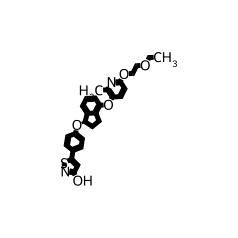 CCOCCOc1ccc(Oc2cccc3c2CC[C@H]3Oc2ccc(-c3cc(O)ns3)cc2)c(C)n1